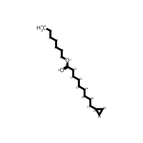 CCCCCCCOC(=O)CCCCCCCCC1CC1